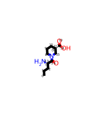 CCC[C@H](N)C(=O)N1CCC[C@H](C(=O)O)C1